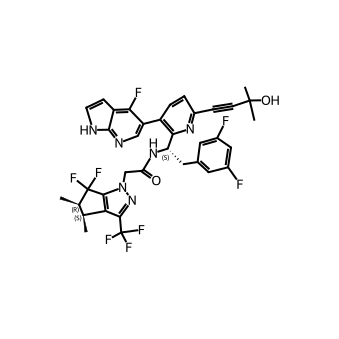 C[C@@H]1c2c(C(F)(F)F)nn(CC(=O)N[C@@H](Cc3cc(F)cc(F)c3)c3nc(C#CC(C)(C)O)ccc3-c3cnc4[nH]ccc4c3F)c2C(F)(F)[C@@H]1C